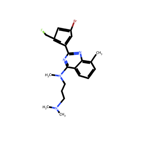 Cc1cccc2c(N(C)CCCN(C)C)nc(-c3cc(Br)cc(CF)c3)nc12